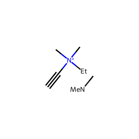 C#C[N+](C)(C)CC.CNC